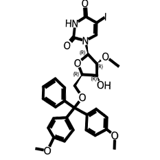 COc1ccc(C(OC[C@H]2O[C@@H](n3cc(I)c(=O)[nH]c3=O)[C@H](OC)[C@@H]2O)(c2ccccc2)c2ccc(OC)cc2)cc1